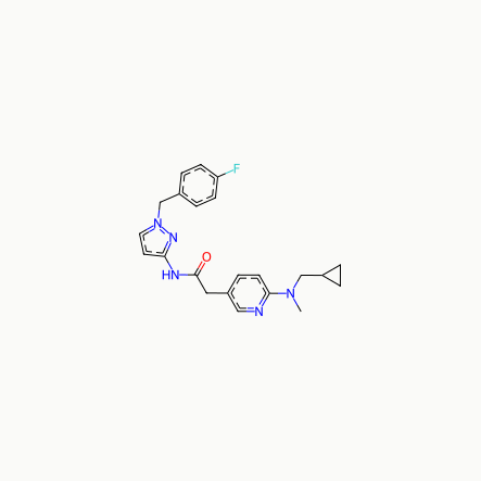 CN(CC1CC1)c1ccc(CC(=O)Nc2ccn(Cc3ccc(F)cc3)n2)cn1